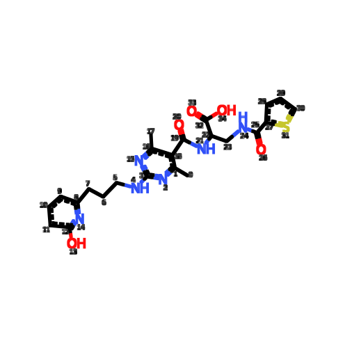 Cc1nc(NCCCc2cccc(O)n2)nc(C)c1C(=O)NC(CNC(=O)c1cccs1)C(=O)O